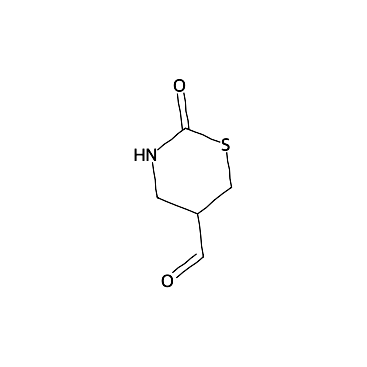 O=CC1CNC(=O)SC1